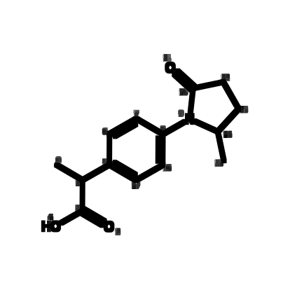 CC(C(=O)O)c1ccc(N2C(=O)CCC2C)cc1